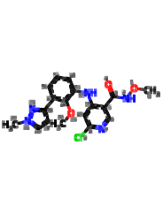 CONC(=O)c1cnc(Cl)cc1Nc1cccc(-c2ccn(C)n2)c1OC